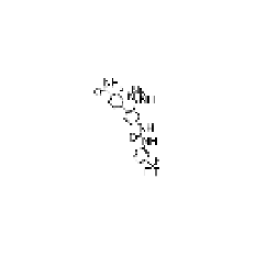 NC(=O)c1ccc(-c2ccc(NC(=O)Nc3cccc(C(F)(F)F)c3)cc2-c2nnn[nH]2)cc1